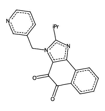 CC(C)c1nc2c(n1Cc1cccnc1)C(=O)C(=O)c1ccccc1-2